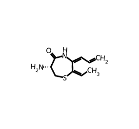 C=C/C=C1/NC(=O)[C@@H](N)CS/C1=C/C